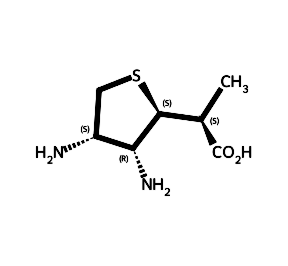 C[C@@H](C(=O)O)[C@@H]1SC[C@@H](N)[C@H]1N